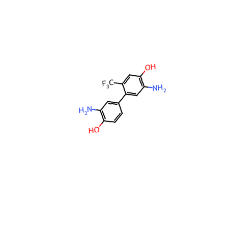 Nc1cc(-c2cc(N)c(O)cc2C(F)(F)F)ccc1O